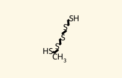 CC(S)CSCCSCCSCCS